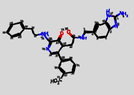 Nc1nc2ccc(CNC(=O)CC3C(=O)C(NCCc4ccccc4)=NC=C3c3cccc(C(=O)O)c3)cc2[nH]1